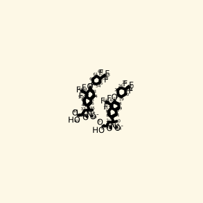 CC(CCC(=O)O)(c1ccc2c(C(F)(F)F)c(OC3CCC(C(F)(F)F)CC3)ccc2c1)[N+](=O)[O-].CC(CCC(=O)O)(c1ccc2c(C(F)(F)F)c(OC3CCC(C(F)(F)F)CC3)ccc2c1)[N+](=O)[O-]